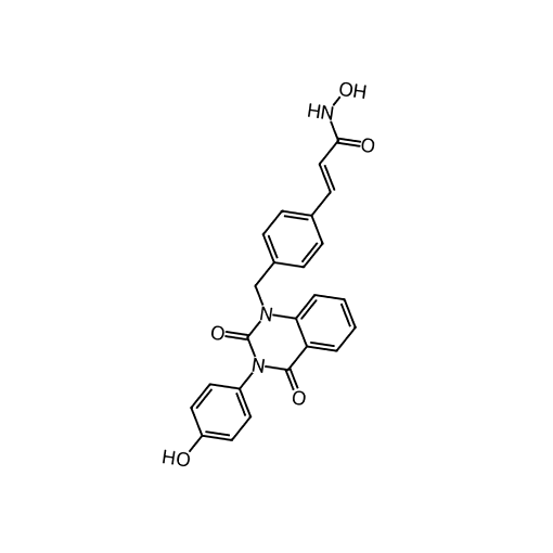 O=C(/C=C/c1ccc(Cn2c(=O)n(-c3ccc(O)cc3)c(=O)c3ccccc32)cc1)NO